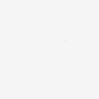 Nc1ccc(O)c2c1C(=O)c1c(N)cc(-c3cccs3)c(O)c1C2=O